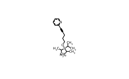 CC(C)[Si](OCCCC#Cc1ccccn1)(C(C)C)C(C)C